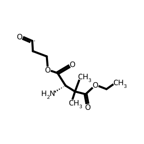 CCOC(=O)C(C)(C)[C@H](N)C(=O)OCC[C]=O